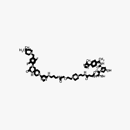 Cc1ncsc1-c1ccc([C@H](C)NC(=O)[C@@H]2C[C@@H](O)CN2C(=O)[C@@H](NC(=O)CCC(=O)NCCN2CCN(CCOCC(=O)NCCCNc3cc(N4CCC5(CC4)CN(c4cc(F)c(CN6CCC(C)(C)CC6)cc4F)CC(=O)N5)ncn3)CC2)C(C)(C)C)cc1